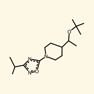 CC(C)c1noc(N2CCC(C(C)OC(C)(C)C)CC2)n1